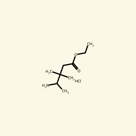 CCOC(=O)CC(C)(C)C(C)N.Cl